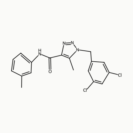 Cc1cccc(NC(=O)c2nnn(Cc3cc(Cl)cc(Cl)c3)c2C)c1